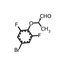 C[C@H](C=O)Oc1c(F)cc(Br)cc1F